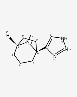 CN1[C@@H]2CCC[C@@]1(c1c[nH]nn1)CC2